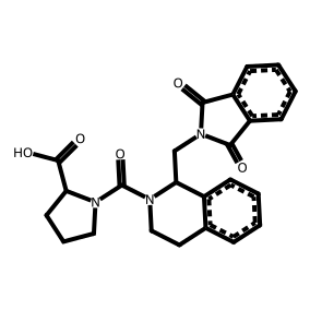 O=C(O)C1CCCN1C(=O)N1CCc2ccccc2C1CN1C(=O)c2ccccc2C1=O